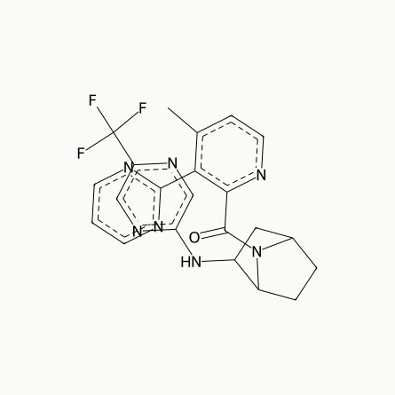 Cc1ccnc(C(=O)N2C3CCC2C(Nc2cnc(C(F)(F)F)cn2)C3)c1-c1ncccn1